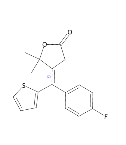 CC1(C)OC(=O)C/C1=C(\c1ccc(F)cc1)c1cccs1